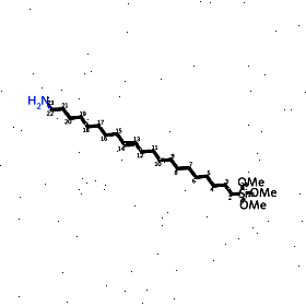 CO[Si](CCCCCCCCCCCC=CCCCCCCCCN)(OC)OC